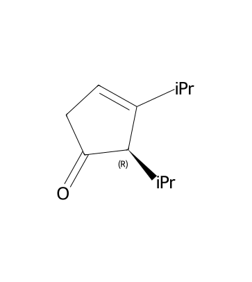 CC(C)C1=CCC(=O)[C@@H]1C(C)C